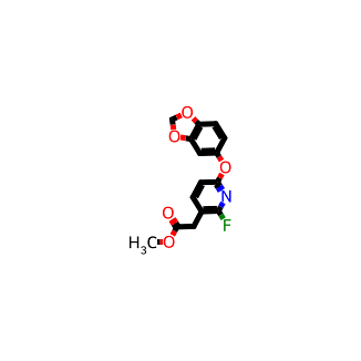 COC(=O)Cc1ccc(Oc2ccc3c(c2)OCO3)nc1F